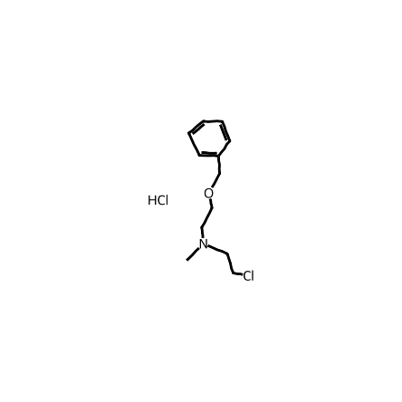 CN(CCCl)CCOCc1ccccc1.Cl